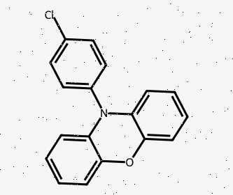 Clc1ccc(N2c3ccccc3Oc3ccccc32)cc1